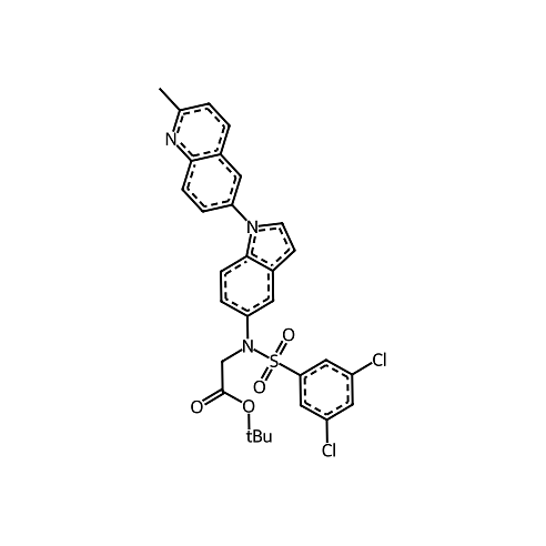 Cc1ccc2cc(-n3ccc4cc(N(CC(=O)OC(C)(C)C)S(=O)(=O)c5cc(Cl)cc(Cl)c5)ccc43)ccc2n1